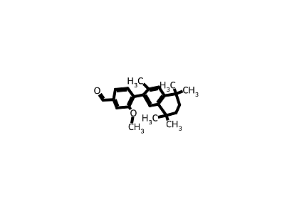 COc1cc(C=O)ccc1-c1cc2c(cc1C)C(C)(C)CCC2(C)C